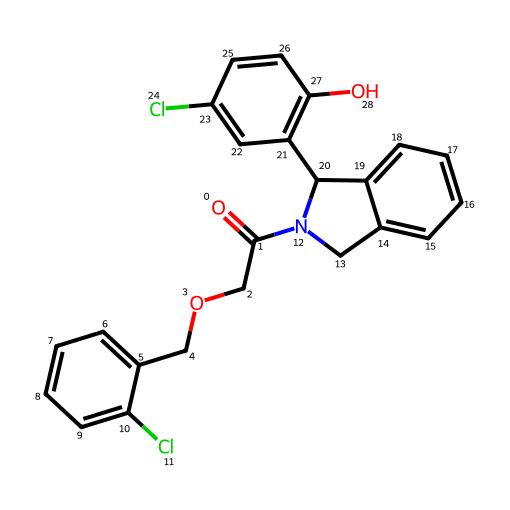 O=C(COCc1ccccc1Cl)N1Cc2ccccc2C1c1cc(Cl)ccc1O